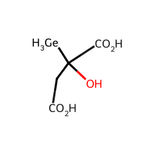 O=C(O)C[C](O)([GeH3])C(=O)O